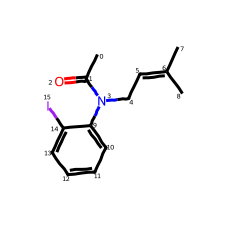 CC(=O)N(CC=C(C)C)c1ccccc1I